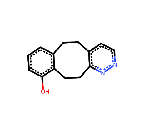 Oc1cccc2c1CCc1nnccc1CC2